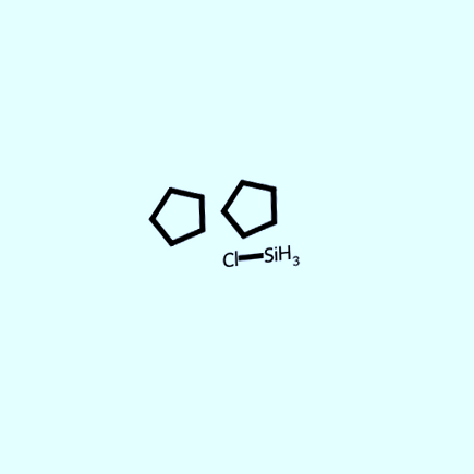 C1CCCC1.C1CCCC1.[SiH3]Cl